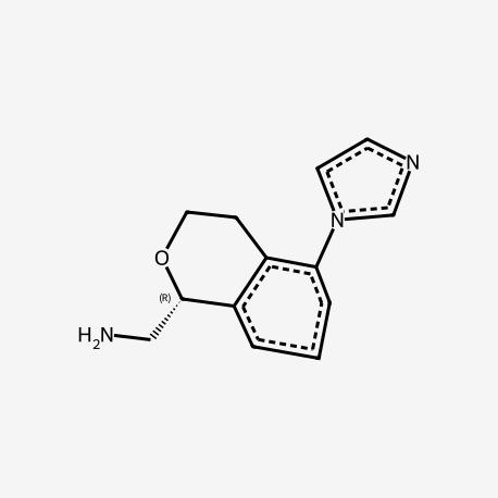 NC[C@@H]1OCCc2c1cccc2-n1ccnc1